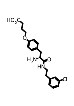 N[C@@H](Cc1ccc(OCCCC(=O)O)cc1)C(=O)NCCc1cccc(Cl)c1